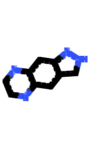 c1cnc2cc3n[nH]cc3cc2n1